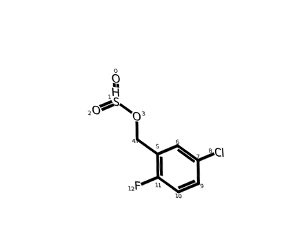 O=[SH](=O)O[CH]c1cc(Cl)ccc1F